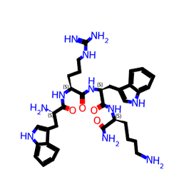 N=C(N)NCCC[C@H](NC(=O)[C@@H](N)Cc1c[nH]c2ccccc12)C(=O)N[C@@H](Cc1c[nH]c2ccccc12)C(=O)N[C@@H](CCCCN)C(N)=O